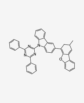 CC1C=c2c(oc3ccccc23)=C(c2ccc3c(c2)c2ccccc2n3-c2nc(-c3ccccc3)nc(-c3ccccc3)n2)C1